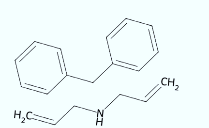 C=CCNCC=C.c1ccc(Cc2ccccc2)cc1